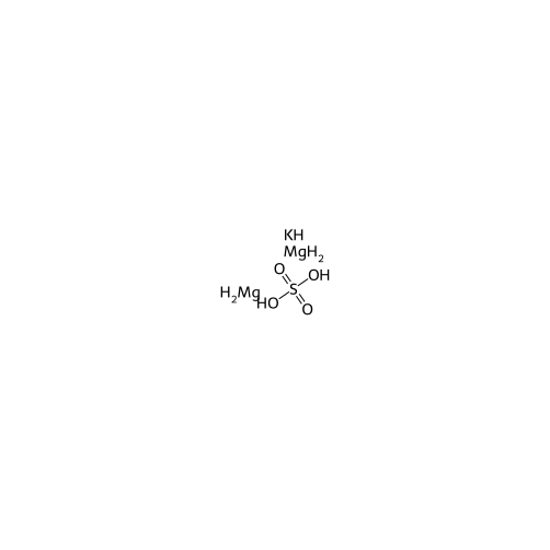 O=S(=O)(O)O.[KH].[MgH2].[MgH2]